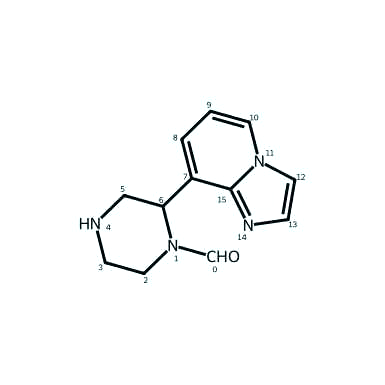 O=CN1CCNCC1c1cccn2ccnc12